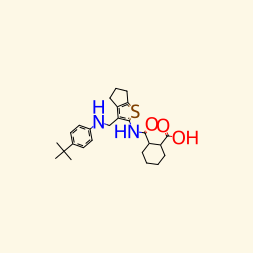 CC(C)(C)c1ccc(NCc2c(NC(=O)C3CCCCC3C(=O)O)sc3c2CCC3)cc1